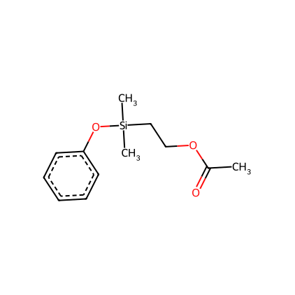 CC(=O)OCC[Si](C)(C)Oc1ccccc1